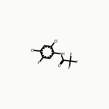 O=C(Nc1cc(F)c(Cl)cc1Cl)C(F)(F)F